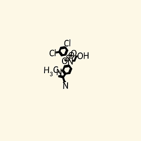 Cn1cc(C#N)c2ccc(N(CC(=O)O)S(=O)(=O)c3cc(Cl)cc(Cl)c3)cc21